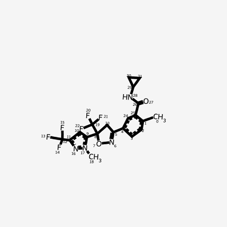 Cc1ccc(C2=NOC(c3cc(C(F)(F)F)nn3C)(C(F)(F)F)C2)cc1C(=O)NC1CC1